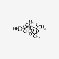 CC(I)C(=O)OCC(C)(COC(=O)C(C)I)C(=O)OC(C)(C)C1CCNCC1